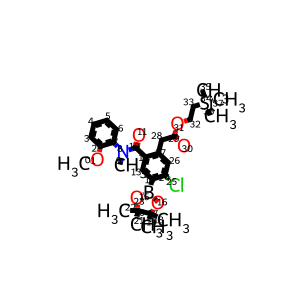 COc1ccccc1N(C)C(=O)c1cc(B2OC(C)(C)C(C)(C)O2)c(Cl)cc1CC(=O)OCC[Si](C)(C)C